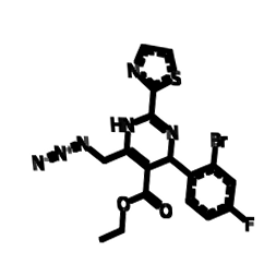 CCOC(=O)C1=C(CN=[N+]=[N-])NC(c2nccs2)=NC1c1ccc(F)cc1Br